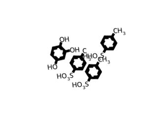 Cc1ccc(S(=O)(=O)O)cc1.Cc1ccc(S(=O)(=O)O)cc1.Cc1ccc(S(=O)(=O)O)cc1.Oc1ccc(O)c(O)c1